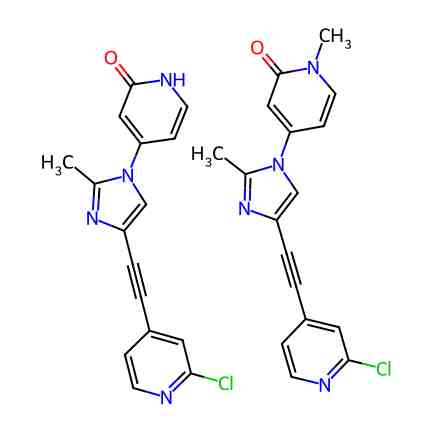 Cc1nc(C#Cc2ccnc(Cl)c2)cn1-c1cc[nH]c(=O)c1.Cc1nc(C#Cc2ccnc(Cl)c2)cn1-c1ccn(C)c(=O)c1